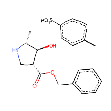 C[C@H]1NC[C@@H](C(=O)OCc2ccccc2)[C@@H]1O.Cc1ccc(S(=O)(=O)O)cc1